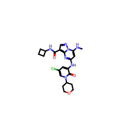 CNc1cc(Nc2cc(Cl)cn(C3CCOCC3)c2=O)nc2c(C(=O)NC3CCC3)cnn12